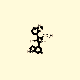 CC(C)c1c(-c2cc(F)cc3[nH]ccc23)[nH]c(C(=O)O)c1-c1cccc2ncoc12